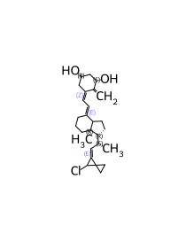 C=C1/C(=C\C=C2/CCC[C@@]3(C)C2CC[C@@H]3[C@H](C)/C=C2/C(Cl)C23CC3)C[C@@H](O)C[C@@H]1O